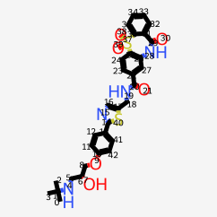 CC(C)(C)NCC(O)COc1ccc(-c2ncc(CNC(=O)c3ccc4c(c3)NC(=O)c3ccccc3S4(=O)=O)s2)cc1